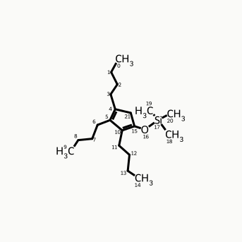 CCCCC1=C(CCCC)C(CCCC)=C(O[Si](C)(C)C)C1